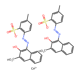 Cc1ccc(N=Nc2c(O)c(C(=O)O)cc3ccccc23)c(S(=O)(=O)[O-])c1.Cc1ccc(N=Nc2c(O)c(C(=O)O)cc3ccccc23)c(S(=O)(=O)[O-])c1.[Ca+2]